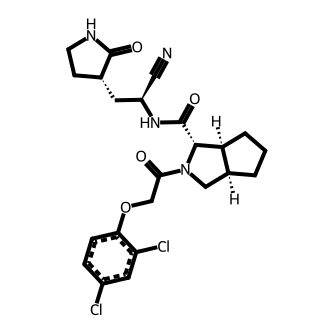 N#C[C@H](C[C@@H]1CCNC1=O)NC(=O)[C@@H]1[C@H]2CCC[C@H]2CN1C(=O)COc1ccc(Cl)cc1Cl